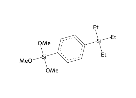 CC[Si](CC)(CC)c1ccc([Si](OC)(OC)OC)cc1